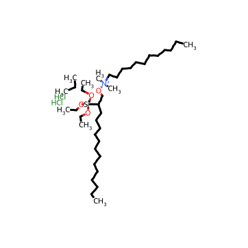 CCC.CCCCCCCCCCCCCC(CO[N+](C)(C)CCCCCCCCCCCC)[Si](OCC)(OCC)OCC.Cl.Cl